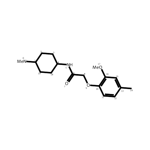 CNC1CCC(NC(=O)COc2ccc(C)cc2OC)CC1